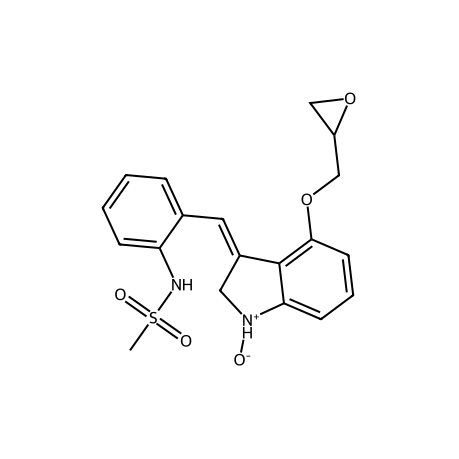 CS(=O)(=O)Nc1ccccc1C=C1C[NH+]([O-])c2cccc(OCC3CO3)c21